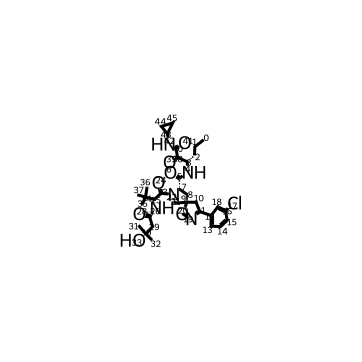 CCC[C@H](NC(=O)[C@@H]1C[C@]2(CC(c3cccc(Cl)c3)=NO2)CN1C(=O)[C@@H](NC(=O)CC(C)(C)O)C(C)(C)C)C(=O)C(=O)NC1CC1